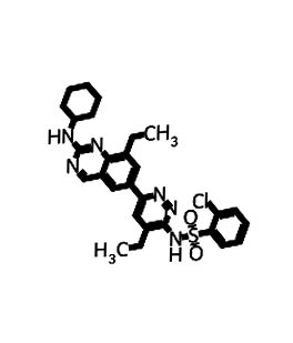 CCc1cc(-c2cc(CC)c3nc(NC4CCCCC4)ncc3c2)nnc1NS(=O)(=O)c1ccccc1Cl